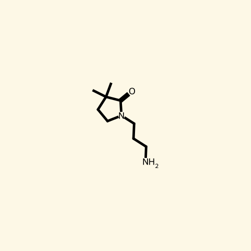 CC1(C)CCN(CCCN)C1=O